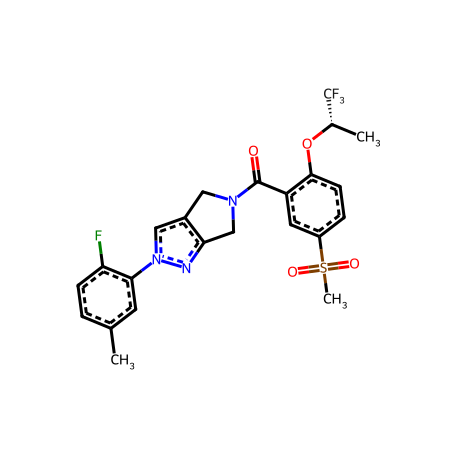 Cc1ccc(F)c(-n2cc3c(n2)CN(C(=O)c2cc(S(C)(=O)=O)ccc2O[C@@H](C)C(F)(F)F)C3)c1